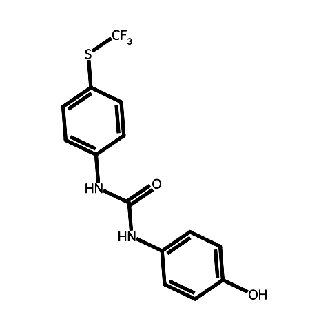 O=C(Nc1ccc(O)cc1)Nc1ccc(SC(F)(F)F)cc1